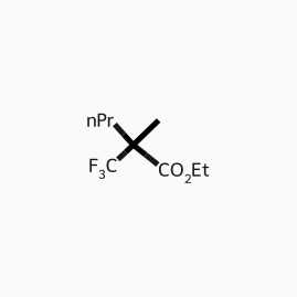 CCCC(C)(C(=O)OCC)C(F)(F)F